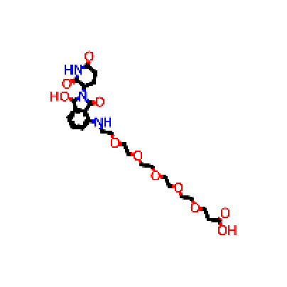 O=C(O)CCOCCOCCOCCOCCOCCNc1cccc2c1C(=O)N(C1CCC(=O)NC1=O)C2O